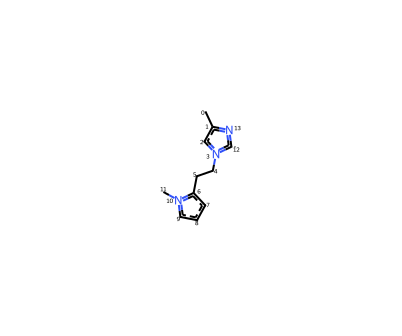 Cc1cn(CCc2cccn2C)[c]n1